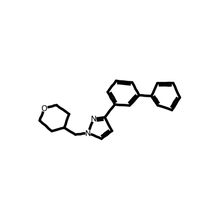 c1ccc(-c2cccc(-c3ccn(CC4CCOCC4)n3)c2)cc1